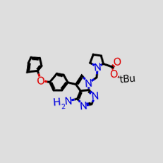 CC(C)(C)OC(=O)C1CCCN1Cn1cc(-c2ccc(Oc3ccccc3)cc2)c2c(N)ncnc21